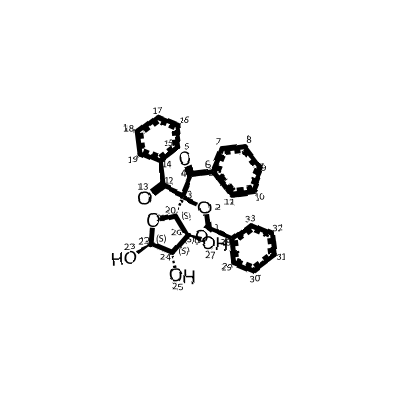 O=C(OC(C(=O)c1ccccc1)(C(=O)c1ccccc1)[C@H]1O[C@H](O)[C@@H](O)[C@@H]1O)c1ccccc1